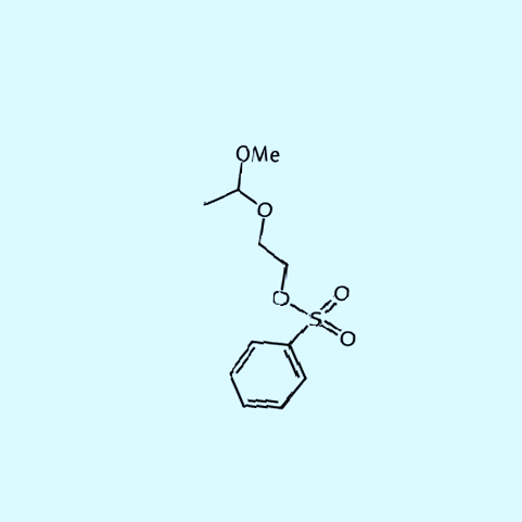 COC(C)OCCOS(=O)(=O)c1ccccc1